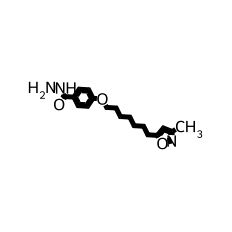 Cc1cc(CCCCCCCOc2ccc(C(=O)NN)cc2)on1